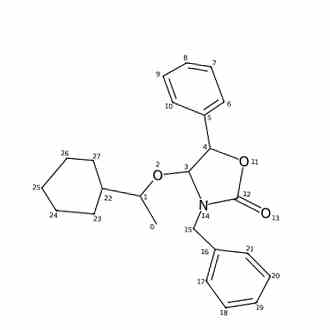 CC(OC1C(c2ccccc2)OC(=O)N1Cc1ccccc1)C1CCCCC1